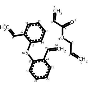 C=CCOC(=O)C=C.C=Cc1ccccc1Sc1ccccc1C=C